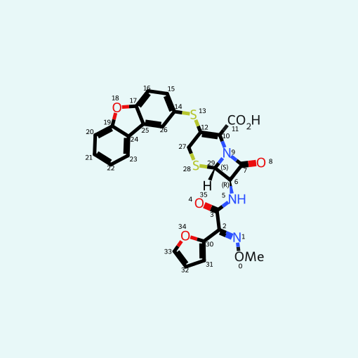 CON=C(C(=O)N[C@@H]1C(=O)N2C(C(=O)O)=C(Sc3ccc4oc5ccccc5c4c3)CS[C@@H]12)c1ccco1